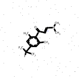 Cc1cc(C(F)(C(F)(F)F)C(F)(F)F)cc(C)c1C(=O)/C=C/N(C)C